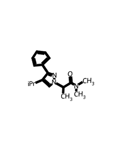 CC(C)c1cn(C(C)C(=O)N(C)C)nc1-c1ccccc1